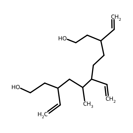 C=CC(CCO)CCC(C=C)C(C)CC(C=C)CCO